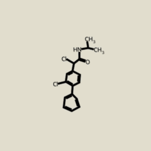 CC(C)NC(=O)C(Cl)c1ccc(-c2ccccc2)c(Cl)c1